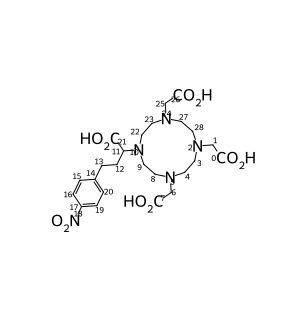 O=C(O)CN1CCN(CC(=O)O)CCN(C(CCc2ccc([N+](=O)[O-])cc2)C(=O)O)CCN(CC(=O)O)CC1